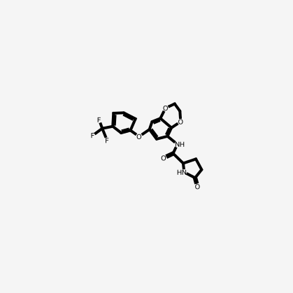 O=C1CCC(C(=O)Nc2cc(Oc3cccc(C(F)(F)F)c3)cc3c2OCCO3)N1